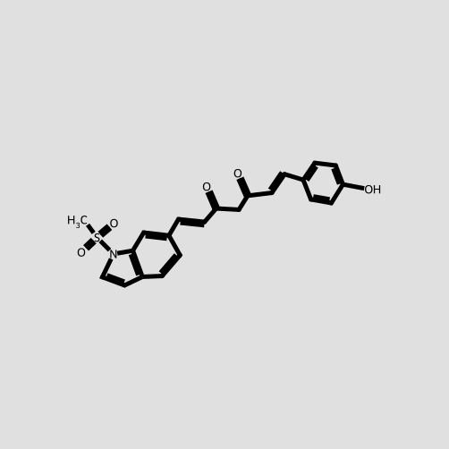 CS(=O)(=O)n1ccc2ccc(C=CC(=O)CC(=O)C=Cc3ccc(O)cc3)cc21